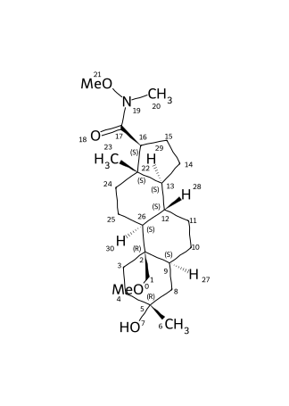 COC[C@]12CC[C@@](C)(O)C[C@@H]1CC[C@H]1[C@@H]3CC[C@H](C(=O)N(C)OC)[C@@]3(C)CC[C@@H]12